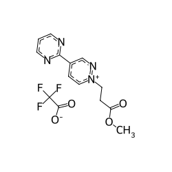 COC(=O)CC[n+]1ccc(-c2ncccn2)cn1.O=C([O-])C(F)(F)F